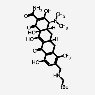 CN(C)[C@@H]1C(O)=C(C(N)=O)C(=O)[C@@]2(O)C(O)=C3C(=O)c4c(O)cc(CNCC(C)(C)C)c(C(F)(F)F)c4C[C@H]3C[C@@H]12